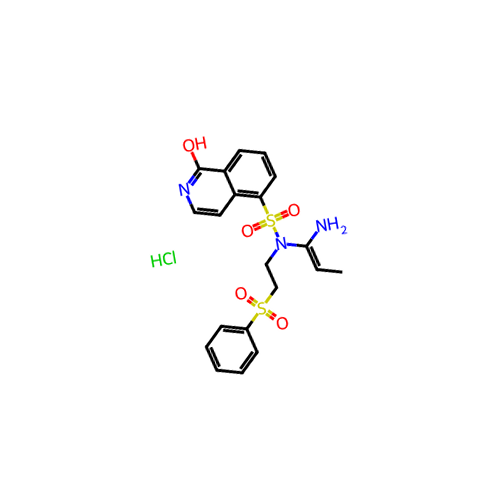 CC=C(N)N(CCS(=O)(=O)c1ccccc1)S(=O)(=O)c1cccc2c(O)nccc12.Cl